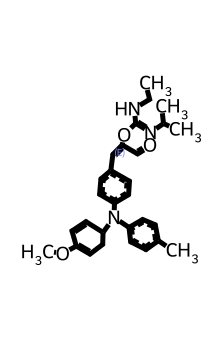 CCNC(=NC(C)C)O/C(C=O)=C/c1ccc(N(c2ccc(C)cc2)C2C=CC(OC)=CC2)cc1